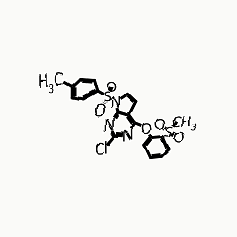 Cc1ccc(S(=O)(=O)n2ccc3c(Oc4ccccc4S(C)(=O)=O)nc(Cl)nc32)cc1